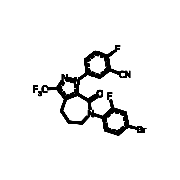 N#Cc1cc(-n2nc(C(F)(F)F)c3c2C(=O)N(c2ccc(Br)cc2F)CCC3)ccc1F